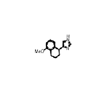 COc1cccc2c1CCCC2c1c[nH]cn1